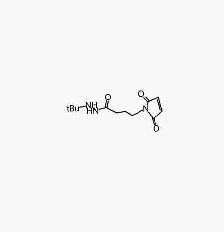 CC(C)(C)NNC(=O)CCCN1C(=O)C=CC1=O